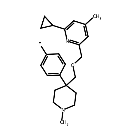 Cc1cc(COCC2(c3ccc(F)cc3)CCN(C)CC2)nc(C2CC2)c1